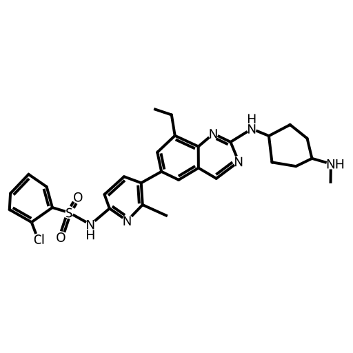 CCc1cc(-c2ccc(NS(=O)(=O)c3ccccc3Cl)nc2C)cc2cnc(NC3CCC(NC)CC3)nc12